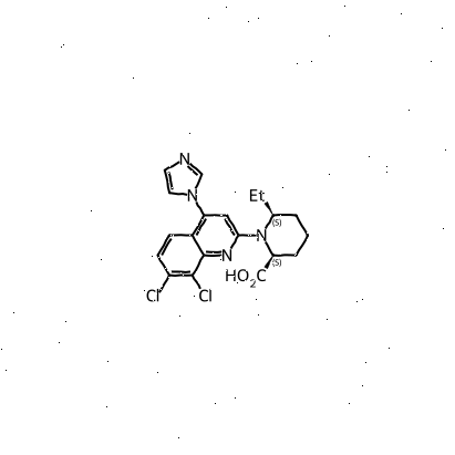 CC[C@H]1CCC[C@@H](C(=O)O)N1c1cc(-n2ccnc2)c2ccc(Cl)c(Cl)c2n1